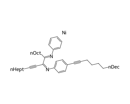 CCCCCCCC#CC(=Nc1ccc(C#CCCCCCCCCCCCCCC)cc1)C(CCCCCCCC)=Nc1ccccc1.[Ni]